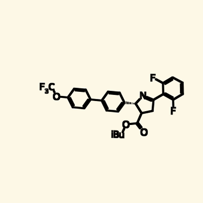 CCC(C)OC(=O)C1CC(c2c(F)cccc2F)=N[C@H]1c1ccc(-c2ccc(OC(F)(F)F)cc2)cc1